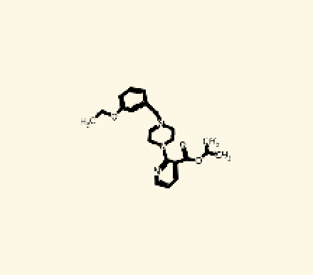 CCOc1cccc(CN2CCN(c3ncccc3C(=O)OC(C)C)CC2)c1